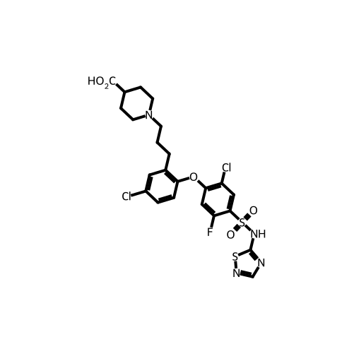 O=C(O)C1CCN(CCCc2cc(Cl)ccc2Oc2cc(F)c(S(=O)(=O)Nc3ncns3)cc2Cl)CC1